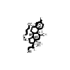 C[C@]12CCC(=O)C=C1CC[C@@H]1[C@@H]2[C@@H](O)C[C@@]2(C)[C@H]1CC[C@]2(O)C(=O)CO.O=C(O)CCCO[N+](=O)[O-]